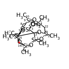 C[Si]12C[Si]3(C)O[Si]4(C)C[Si]5(C)O[Si](C)(C[Si](C)(O1)O4)O[Si](C)(C[Si](C)(O3)O5)O2